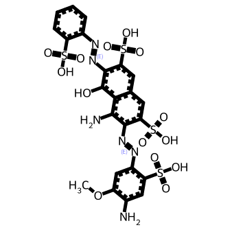 COc1cc(/N=N/c2c(S(=O)(=O)O)cc3cc(S(=O)(=O)O)c(/N=N/c4ccccc4S(=O)(=O)O)c(O)c3c2N)c(S(=O)(=O)O)cc1N